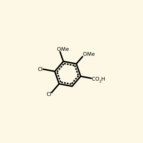 COc1c(C(=O)O)cc(Cl)c(Cl)c1OC